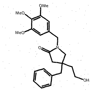 COc1cc(CN2CC(CCO)(Cc3ccccc3)CC2=O)cc(OC)c1OC